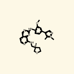 COc1cc(-c2cnn(C)c2C)ccc1Nc1ncc2ccnc(NC[C@]3(C)CCOC3)c2n1